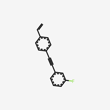 C=Cc1ccc(C#Cc2cccc(F)c2)cc1